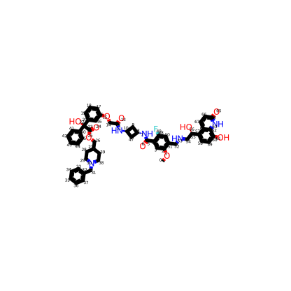 COc1cc(C(=O)N[C@H]2C[C@H](NC(=O)COc3cccc([C@](O)(C(=O)OCC4CCN(Cc5ccccc5)CC4)c4ccccc4)c3)C2)c(F)cc1CNC[C@H](O)c1ccc(O)c2[nH]c(=O)ccc12